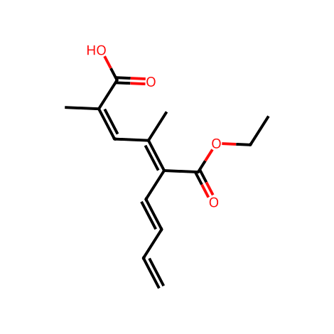 C=CC=CC(C(=O)OCC)=C(C)C=C(C)C(=O)O